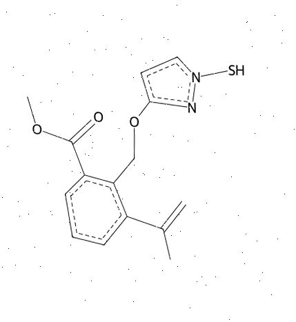 C=C(C)c1cccc(C(=O)OC)c1COc1ccn(S)n1